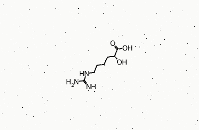 N=C(N)NCCCC[C@H](O)C(=O)O